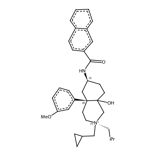 COc1cccc([C@]23CC[N@+](CC(C)C)(CC4CC4)CC2(O)CC[C@H](NC(=O)c2ccc4ccccc4c2)C3)c1